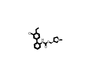 CCc1ccc(-c2ccccc2NC(=O)OC[C@H]2CCN(C)C2)cc1Cl